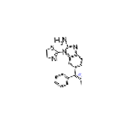 C/C=C(\c1ccccc1)c1ccc2nc(N)n(C3=NCCS3)c2c1